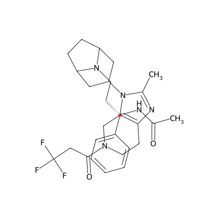 CC(=O)N[C@@H](CCN1C2CCC1CC(n1c(C)nc3c1CN(C(=O)CC(F)(F)F)CC3)C2)c1ccccc1